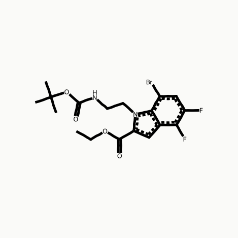 CCOC(=O)c1cc2c(F)c(F)cc(Br)c2n1CCNC(=O)OC(C)(C)C